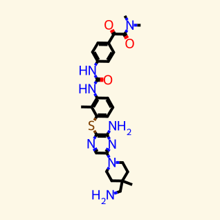 Cc1c(NC(=O)Nc2ccc(C(=O)C(=O)N(C)C)cc2)cccc1Sc1ncc(N2CCC(C)(CN)CC2)nc1N